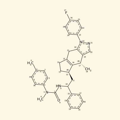 Cc1ccc(N(C)C(=O)NC(C[C@H]2CCC3=C2[C@@H](C)c2cnn(-c4ccc(F)cc4)c2C3)c2ccccc2)cc1